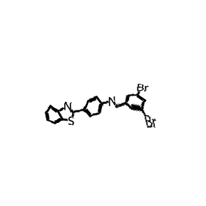 Brc1cc(Br)cc(C=Nc2ccc(-c3nc4ccccc4s3)cc2)c1